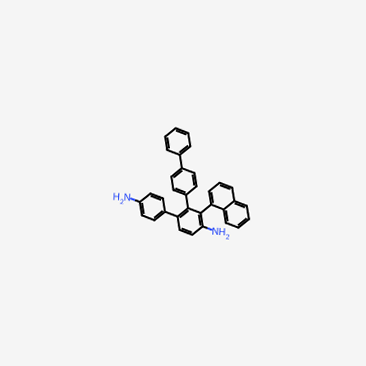 Nc1ccc(-c2ccc(N)c(-c3cccc4ccccc34)c2-c2ccc(-c3ccccc3)cc2)cc1